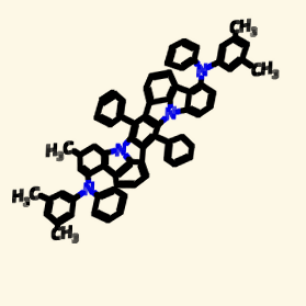 Cc1cc(C)cc(N(C2=CC(C)Cc3c2c2cccc4c5c(C6=CC=CCC6)c6c(c(-c7cc#ccc7)c5n3c24)c2cccc3c4c(N(c5ccccc5)c5cc(C)cc(C)c5)cccc4n6c32)c2ccccc2)c1